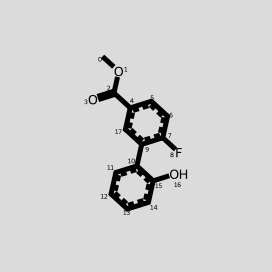 COC(=O)c1ccc(F)c(-c2ccccc2O)c1